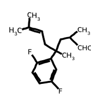 CC(C)=CCC(C)(CC(C)C=O)c1cc(F)ccc1F